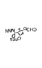 CC(C)(C)Oc1cc(OC=O)sc1C(=O)N=[N+]=[N-]